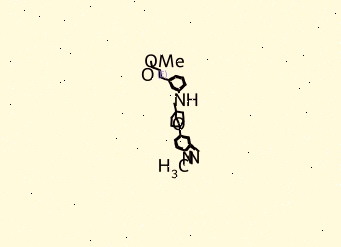 COC(=O)/C=C/c1cccc(NCC23CCC(c4ccc5c(cnn5C)c4)(CC2)OC3)c1